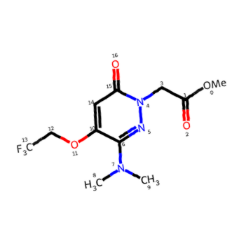 COC(=O)Cn1nc(N(C)C)c(OCC(F)(F)F)cc1=O